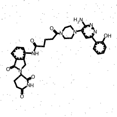 Nc1nnc(-c2ccccc2O)cc1N1CCN(C(=O)CCCC(=O)Nc2cccc3c2CN(C2CCC(=O)NC2=O)C3=O)CC1